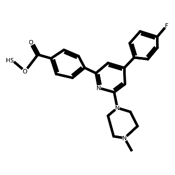 CN1CCN(c2cc(-c3ccc(F)cc3)cc(-c3ccc(C(=O)OS)cc3)n2)CC1